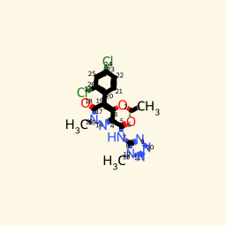 CCOc1c(C(=O)Nc2nnnn2C)nn(C)c(=O)c1-c1ccc(Cl)cc1Cl